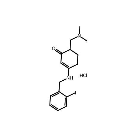 CN(C)CC1CCC(NCc2ccccc2I)=CC1=O.Cl